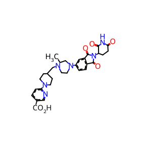 CC1CN(c2ccc3c(c2)C(=O)N(C2CCC(=O)NC2=O)C3=O)CCN1CC1CCN(c2ccc(C(=O)O)cn2)CC1